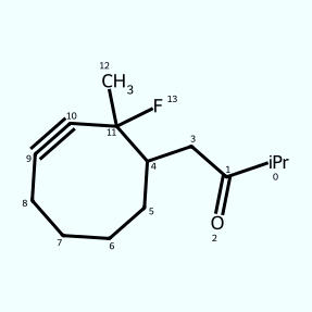 CC(C)C(=O)CC1CCCCC#CC1(C)F